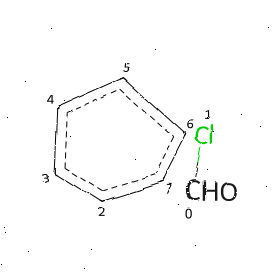 O=CCl.c1ccccc1